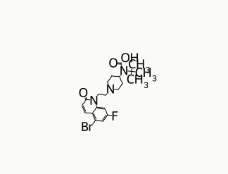 CC(C)(C)N(C(=O)O)C1CCN(CCn2c(=O)ccc3c(Br)cc(F)cc32)CC1